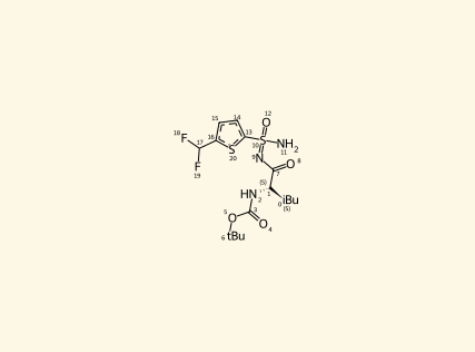 CC[C@H](C)[C@H](NC(=O)OC(C)(C)C)C(=O)N=S(N)(=O)c1ccc(C(F)F)s1